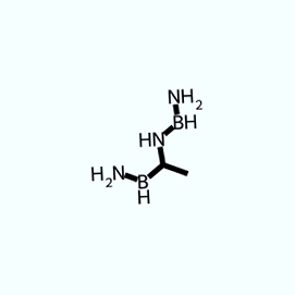 CC(BN)NBN